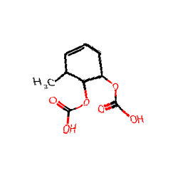 CC1C=CCC(OC(=O)O)C1OC(=O)O